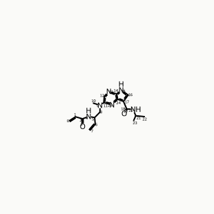 C=CC(=O)NC(C=C)CN(C)c1cnc2[nH]cc(C(=O)NC(C)C)c2n1